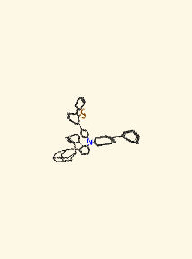 c1ccc(-c2ccc(N(c3ccc(-c4cccc5c4sc4ccccc45)cc3)c3cccc4c3-c3ccccc3C43C4CC5CC(C4)CC3C5)cc2)cc1